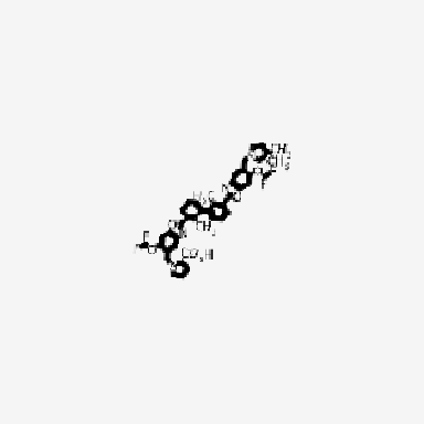 Cc1c(-c2nc3cc(CN4CCC(C)(C)C4)c(OC(F)F)cc3o2)cccc1-c1cccc(-c2nc3cc(CN4CCC[C@H]4C(=O)O)c(OC(F)F)cc3o2)c1C